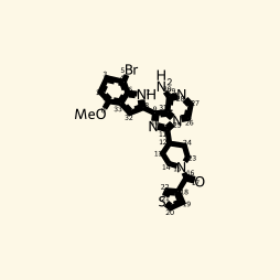 COc1ccc(Br)c2[nH]c(-c3nc(C4CCN(C(=O)c5ccsc5)CC4)n4ccnc(N)c34)cc12